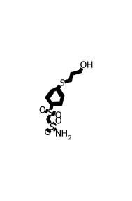 NS(=O)(=O)CS(=O)(=O)c1ccc(SCCCO)cc1